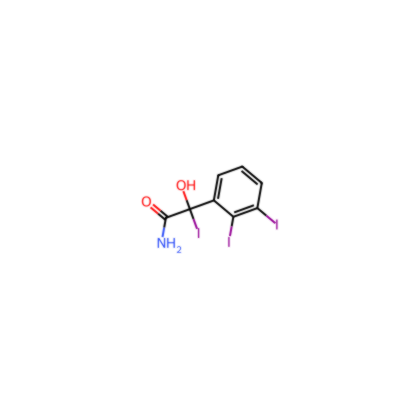 NC(=O)C(O)(I)c1cccc(I)c1I